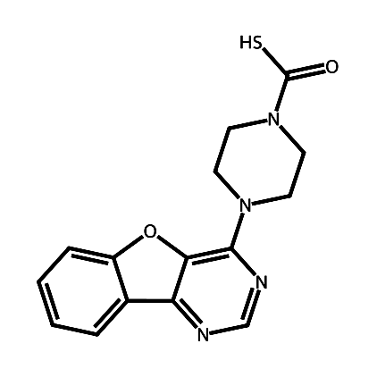 O=C(S)N1CCN(c2ncnc3c2oc2ccccc23)CC1